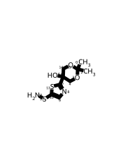 CC1(C)OCC(O)(c2ncc(SN)s2)CO1